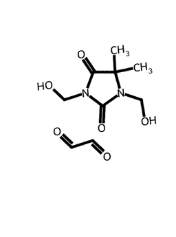 CC1(C)C(=O)N(CO)C(=O)N1CO.O=CC=O